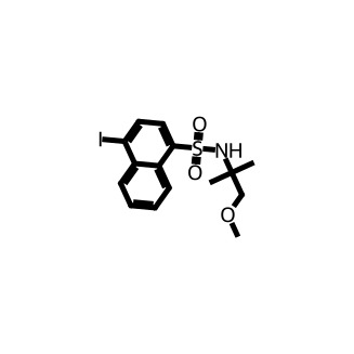 COCC(C)(C)NS(=O)(=O)c1ccc(I)c2ccccc12